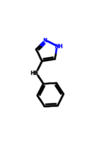 B(c1ccccc1)c1cn[nH]c1